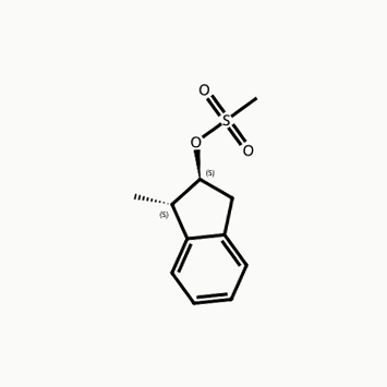 C[C@H]1c2ccccc2C[C@@H]1OS(C)(=O)=O